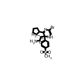 C[C@@H](C(N)=O)C1(c2ccc(S(C)(=O)=O)cc2)NC=C(Br)N=C1C1CCCC1